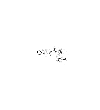 CC(C)[C@@H](CN(C)S(=O)(=O)c1ccccc1)NC(=O)N[C@H](C(=O)N1C[C@H]2[C@@H]([C@H]1C(=O)NC(CC1CC1)C(=O)C(N)=O)C2(C)C)C(C)(C)C